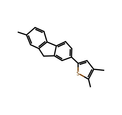 Cc1ccc2c(c1)Cc1cc(-c3cc(C)c(C)s3)ccc1-2